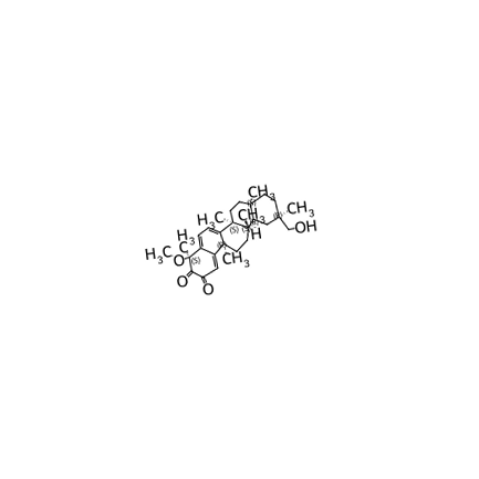 CO[C@]1(C)C(=O)C(=O)C=C2C1=CC=C1[C@@]2(C)CC[C@@]2(C)[C@@H]3C[C@](C)(CO)CC[C@]3(C)CC[C@]12C